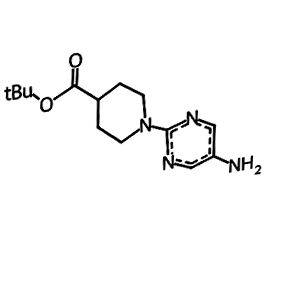 CC(C)(C)OC(=O)C1CCN(c2ncc(N)cn2)CC1